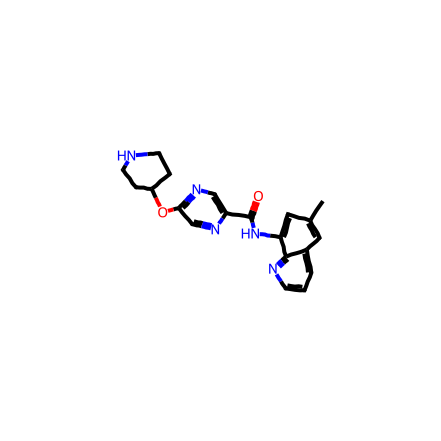 Cc1cc(NC(=O)c2cnc(OC3CCNCC3)cn2)c2ncccc2c1